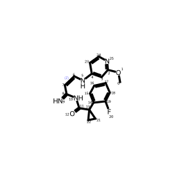 COc1cc(N/C=C\C(=N)NC(=O)C2(c3ccccc3F)CC2)ccn1